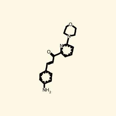 Nc1ccc(C=CC(=O)c2cccc(N3CCOCC3)n2)cc1